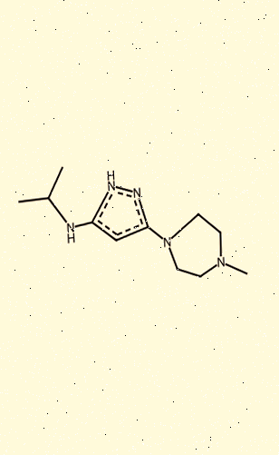 CC(C)Nc1cc(N2CCN(C)CC2)n[nH]1